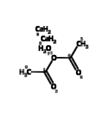 CC(=O)OC(C)=O.O.[CaH2].[CaH2]